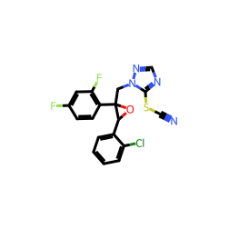 N#CSc1ncnn1CC1(c2ccc(F)cc2F)OC1c1ccccc1Cl